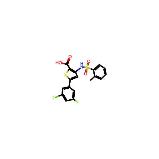 Cc1ccccc1S(=O)(=O)Nc1cc(-c2cc(F)cc(F)c2)sc1C(=O)O